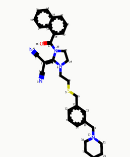 N#CC(C#N)=C1N(CCSCc2cccc(CN3CCCCC3)c2)CCN1C(=O)c1cccc2ccccc12